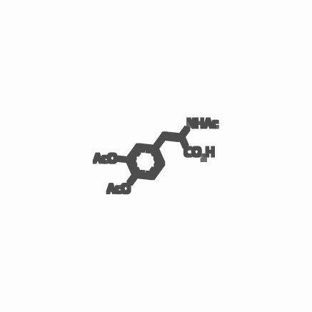 CC(=O)NC(=Cc1ccc(OC(C)=O)c(OC(C)=O)c1)C(=O)O